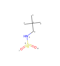 CC(C)(C)CN[SH](=O)=O